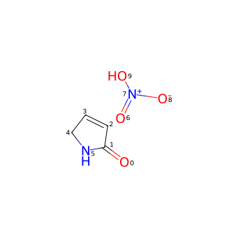 O=C1C=CCN1.O=[N+]([O-])O